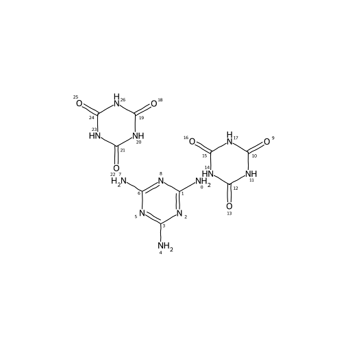 Nc1nc(N)nc(N)n1.O=c1[nH]c(=O)[nH]c(=O)[nH]1.O=c1[nH]c(=O)[nH]c(=O)[nH]1